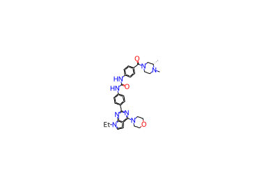 CCn1ccc2c(N3CCOCC3)nc(-c3ccc(NC(=O)Nc4ccc(C(=O)N5CCN(C)[C@@H](C)C5)cc4)cc3)nc21